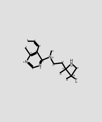 C/C=C\c1c(C)ncnc1N(C)CCC1(C)NCC1(C)F